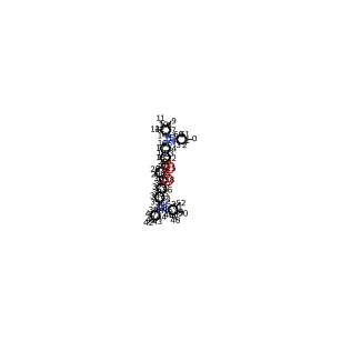 Cc1ccc(N(c2cc(C)c(C)c(C)c2)c2ccc3cc4c(cc3c2)oc2c4ccc3c4cc5ccc(N(c6ccc(C)cc6)c6cc(C)c(C)c(C)c6)cc5cc4oc32)cc1